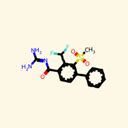 CS(=O)(=O)c1c(-c2ccccc2)ccc(C(=O)N=C(N)N)c1C(F)F